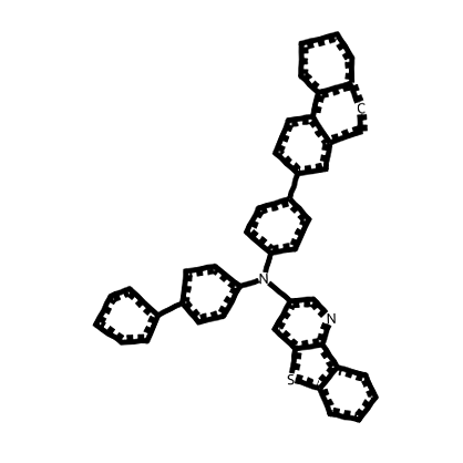 c1ccc(-c2ccc(N(c3ccc(-c4ccc5c(ccc6ccccc65)c4)cc3)c3cnc4c(c3)sc3ccccc34)cc2)cc1